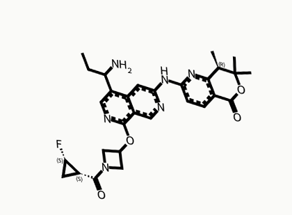 CCC(N)c1cnc(OC2CN(C(=O)[C@@H]3C[C@@H]3F)C2)c2cnc(Nc3ccc4c(n3)[C@@H](C)C(C)(C)OC4=O)cc12